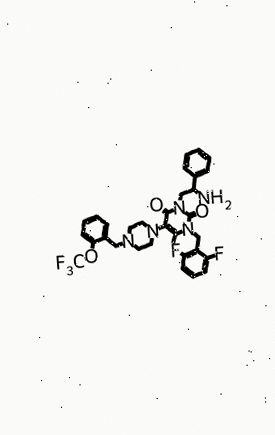 Cc1c(N2CCN(Cc3ccccc3OC(F)(F)F)CC2)c(=O)n(CC(N)c2ccccc2)c(=O)n1Cc1c(F)cccc1F